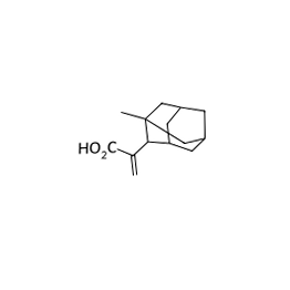 C=C(C(=O)O)C1C2CC3CC(C2)CC1(C)C3